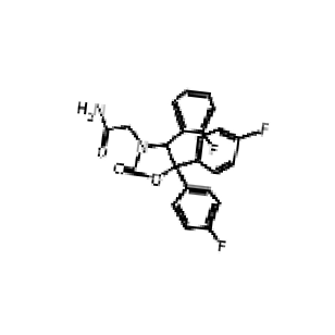 NC(=O)CN1C(=O)OC(c2ccc(F)cc2)(c2ccc(F)cc2)C1c1ccccc1F